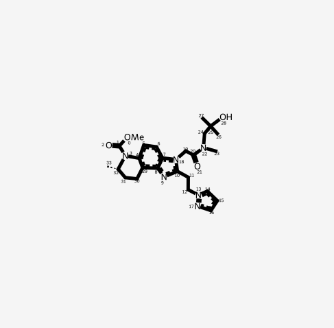 COC(=O)N1c2ccc3c(nc(CCn4cccn4)n3CC(=O)N(C)CC(C)(C)O)c2CC[C@@H]1C